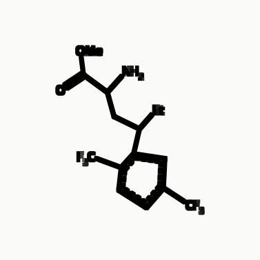 CCC(CC(N)C(=O)OC)c1cc(C(F)(F)F)ccc1C(F)(F)F